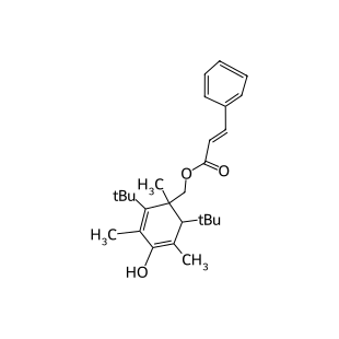 CC1=C(C(C)(C)C)C(C)(COC(=O)C=Cc2ccccc2)C(C(C)(C)C)C(C)=C1O